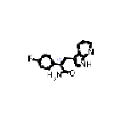 NC(=O)/C(=C\c1c[nH]c2ncccc12)c1ccc(F)cc1